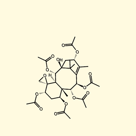 CC(=O)O[C@H]1C[C@@]2(O)[C@@H](OC(C)=O)[C@@H]3[C@@]4(CO4)[C@@H](OC(C)=O)C[C@H](OC(C)=O)[C@@]3(C)[C@@H](OC(C)=O)[C@H](OC(C)=O)C(=C1C)C2(C)C